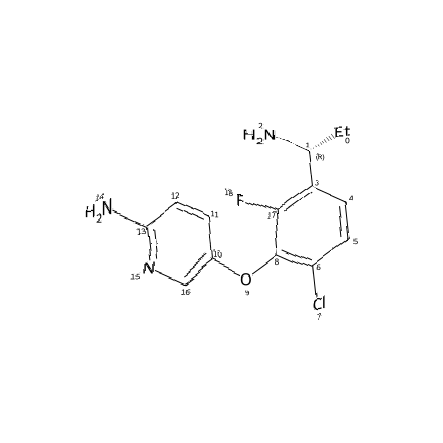 CC[C@@H](N)c1ccc(Cl)c(Oc2ccc(N)nc2)c1F